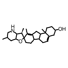 CC1=C2CC3C(CC=C4CC(O)CCC43C)C2CCC12OC1CC(C)CNC1[C@H]2C